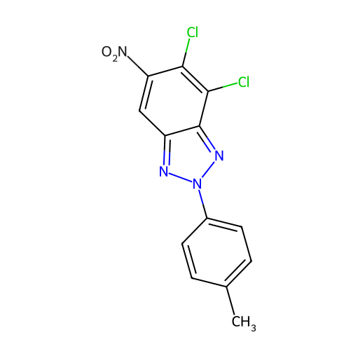 Cc1ccc(-n2nc3cc([N+](=O)[O-])c(Cl)c(Cl)c3n2)cc1